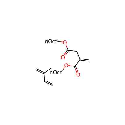 C=C(CC(=O)OCCCCCCCC)C(=O)OCCCCCCCC.C=CC(=C)C